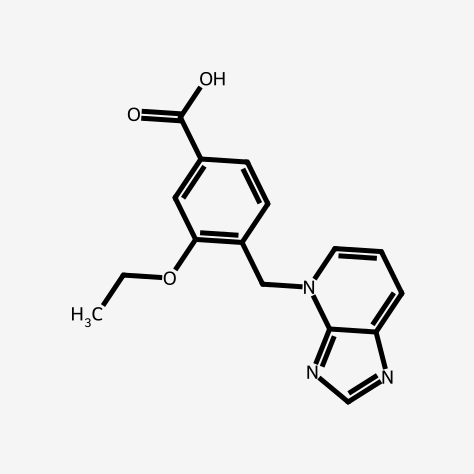 CCOc1cc(C(=O)O)ccc1Cn1cccc2ncnc1-2